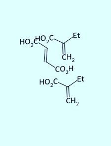 C=C(CC)C(=O)O.C=C(CC)C(=O)O.O=C(O)/C=C/C(=O)O